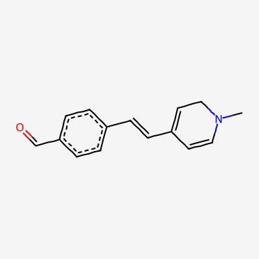 CN1C=CC(C=Cc2ccc(C=O)cc2)=CC1